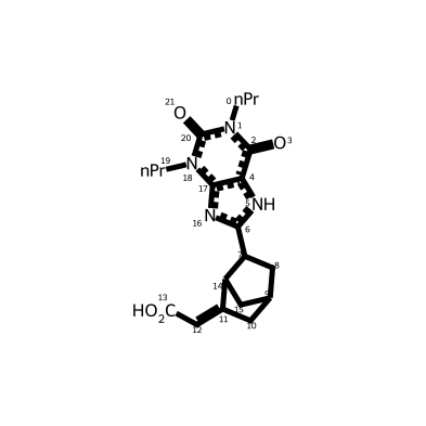 CCCn1c(=O)c2[nH]c(C3CC4CC(=CC(=O)O)C3C4)nc2n(CCC)c1=O